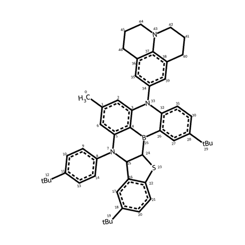 Cc1cc2c3c(c1)N(c1ccc(C(C)(C)C)cc1)C1c4cc(C(C)(C)C)ccc4SC1B3c1cc(C(C)(C)C)ccc1N2c1cc2c3c(c1)CCCN3CCC2